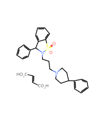 O=C(O)/C=C/C(=O)O.O=S1(=O)c2ccccc2C(c2ccccc2)N1CCCN1CCC(c2ccccc2)CC1